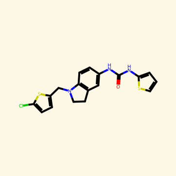 O=C(Nc1ccc2c(c1)CCN2Cc1ccc(Cl)s1)Nc1cccs1